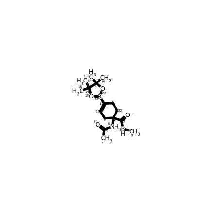 CBC(=O)C1(NC(C)=O)CC=C(B2OC(C)(C)C(C)(C)O2)CC1